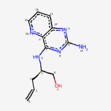 C=CC[C@H](CO)Nc1nc(N)nc2cccnc12